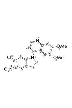 COc1cc2ncnc(N3CCc4cc([N+](=O)[O-])c(Cl)cc43)c2cc1OC